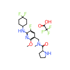 COc1nc(NC2CCC(F)(F)CC2)c(F)cc1CN(C)C(=O)[C@@H]1CCCN1.O=C(O)C(F)(F)F